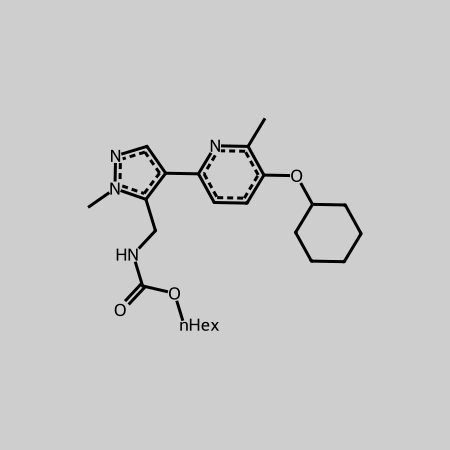 CCCCCCOC(=O)NCc1c(-c2ccc(OC3CCCCC3)c(C)n2)cnn1C